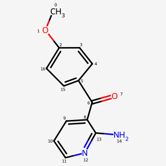 COc1ccc(C(=O)c2cccnc2N)cc1